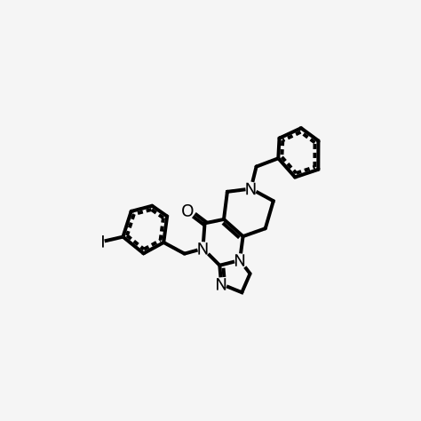 O=C1C2=C(CCN(Cc3ccccc3)C2)N2CCN=C2N1Cc1cccc(I)c1